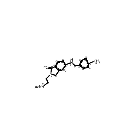 CC(=O)NCCN1Cc2nc(NCc3ccc(C)cc3)ccc2C1=O